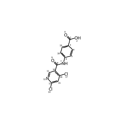 O=C(O)c1ccc(NC(=O)c2cnc(Cl)cc2Cl)cc1